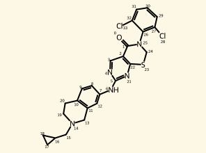 O=C1c2cnc(Nc3ccc4c(c3)CN(CC3CC3)CC4)nc2SCN1c1c(Cl)cccc1Cl